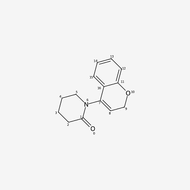 O=C1CCCCN1C1=CCOc2ccccc21